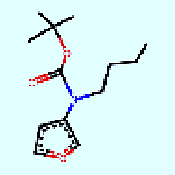 CCCCN(C(=O)OC(C)(C)C)c1ccoc1